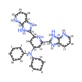 c1ccc(N(c2ccccc2)c2cc(-c3nc4cccnc4[nH]3)nc(-c3nc4cccnc4[nH]3)c2)cc1